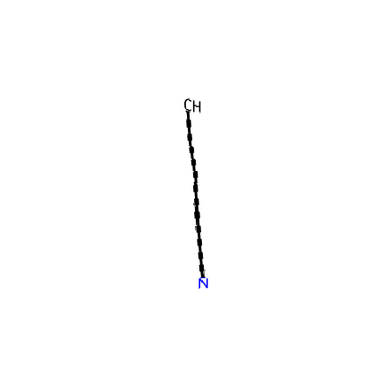 C#CC#CC#CC#CC#CC#CC#CC#CC#CC#CC#CC#CC#CC#N